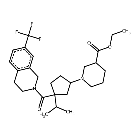 CCOC(=O)C1CCCN(C2CCC(C(=O)N3CCc4ccc(C(F)(F)F)cc4C3)(C(C)C)C2)C1